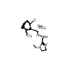 Cl.Clc1cccc(Cl)c1CONC1=NCCN1